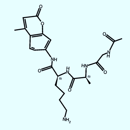 CC(=O)NCC(=O)N[C@@H](C)C(=O)N[C@@H](CCCCN)C(=O)Nc1ccc2c(C)cc(=O)oc2c1